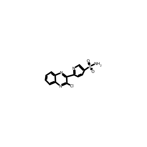 NS(=O)(=O)c1ccc(-c2nc3ccccc3nc2Cl)nc1